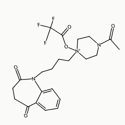 CC(=O)N1CC[N+](CCCCN2C(=O)CCC(=O)c3ccccc32)(OC(=O)C(F)(F)F)CC1